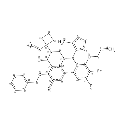 C=CCOc1c(C(c2sccc2C)N2CN(C3(C=C)CCC3)C(=O)c3c(OCc4ccccc4)c(=O)ccn32)ccc(F)c1F